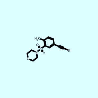 Cc1ccc(C#CBr)cc1S(=O)(=O)N1CCOCC1